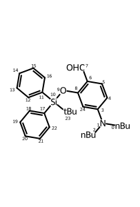 CCCCN(CCCC)c1ccc(C=O)c(O[Si](c2ccccc2)(c2ccccc2)C(C)(C)C)c1